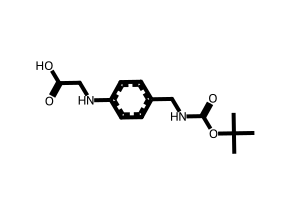 CC(C)(C)OC(=O)NCc1ccc(NCC(=O)O)cc1